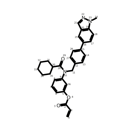 C=CC(=O)Oc1cccc(N(Cc2ccc(-c3ccc4c(cnn4C)c3)cc2)C(=O)C2CCCCC2)c1